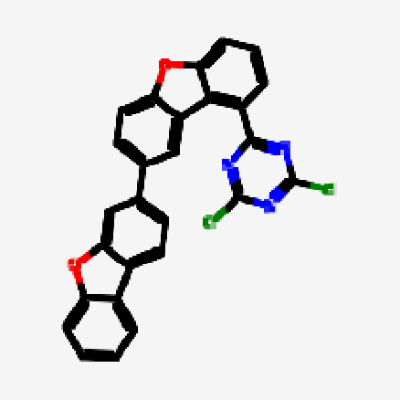 Clc1nc(Cl)nc(-c2cccc3oc4ccc(-c5ccc6c(c5)oc5ccccc56)cc4c23)n1